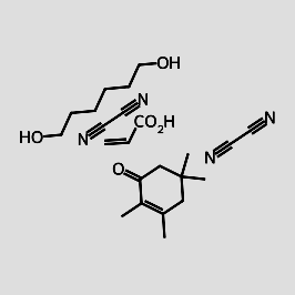 C=CC(=O)O.CC1=C(C)C(=O)CC(C)(C)C1.N#CC#N.N#CC#N.OCCCCCCO